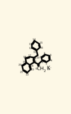 C=C(c1ccccc1)c1c(Cc2ccccc2)ccc2ccccc12.[K]